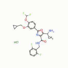 CC(N)c1oc(-c2ccc(OC(F)F)c(OCC3CC3)c2)nc1C(=O)NCc1c(F)cccc1F.Cl